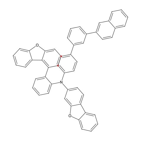 c1cc(-c2ccc(N(c3ccc4c(c3)oc3ccccc34)c3ccccc3-c3cccc4oc5ccccc5c34)cc2)cc(-c2ccc3ccccc3c2)c1